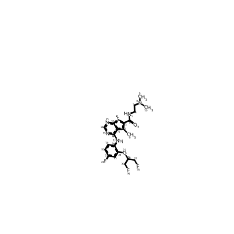 Cc1c(C(=O)NCCN(C)C)sc2ncnc(Nc3ccc(F)cc3OC(CF)CF)c12